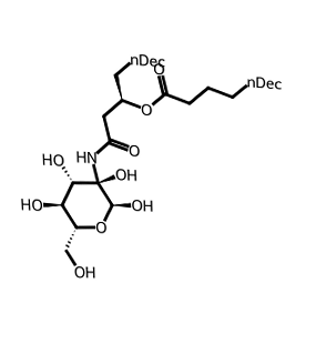 CCCCCCCCCCCCCC(=O)O[C@H](CCCCCCCCCCC)CC(=O)N[C@]1(O)[C@@H](O)O[C@H](CO)[C@@H](O)[C@@H]1O